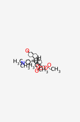 CCC(=O)OCC(=O)[C@@]1(OC(C)=O)CC[C@H]2[C@@H]3CCC4=CC(=O)CCC4=C3[C@@H](c3ccc(N(C)C)cc3)C[C@@]21C